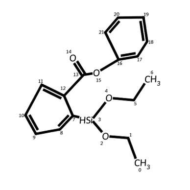 CCO[SiH](OCC)c1ccccc1C(=O)Oc1ccccc1